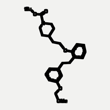 COCOc1cccc(CCc2ccccc2OCCC2CCN(C(=O)OC(C)(C)C)CC2)c1